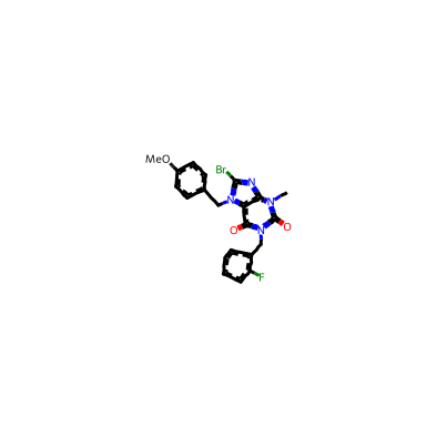 COc1ccc(Cn2c(Br)nc3c2c(=O)n(Cc2ccccc2F)c(=O)n3C)cc1